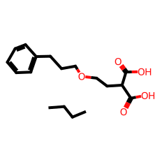 CCCC.O=C(O)C(CCOCCCc1ccccc1)C(=O)O